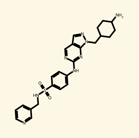 NC1CCC(Cn2ncc3cnc(Nc4ccc(S(=O)(=O)NCc5cccnc5)cc4)nc32)CC1